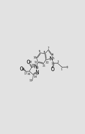 CCCC(=O)n1ccc2ccc(N3N=C(C)C(C=O)C3=O)cc21